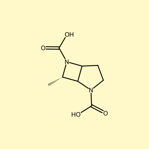 C[C@H]1C2C(CCN2C(=O)O)N1C(=O)O